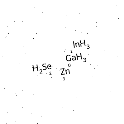 [GaH3].[InH3].[SeH2].[Zn]